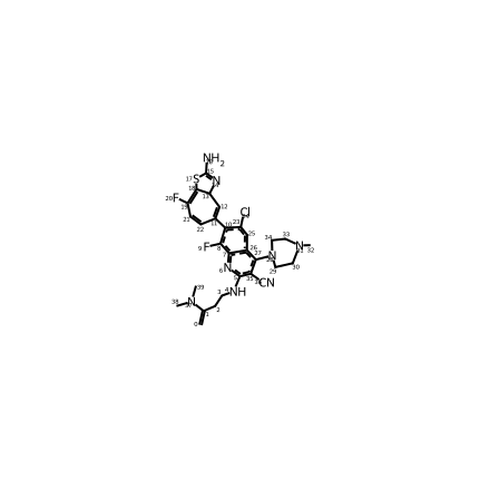 C=C(CCNc1nc2c(F)c(C3=CC4N=C(N)SC4=C(F)C=C3)c(Cl)cc2c(N2CCN(C)CC2)c1C#N)N(C)C